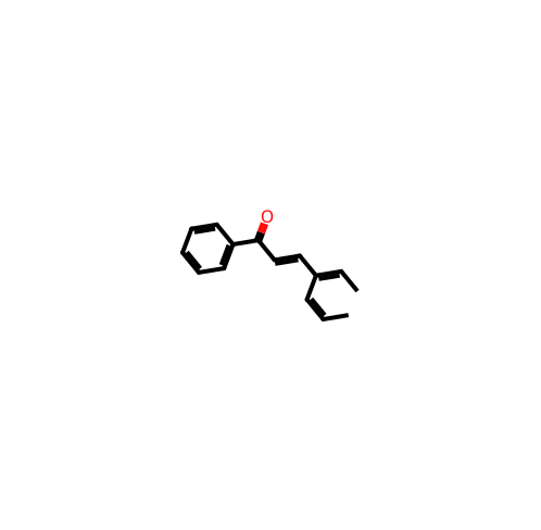 C\C=C/C(/C=C/C(=O)c1ccccc1)=C\C